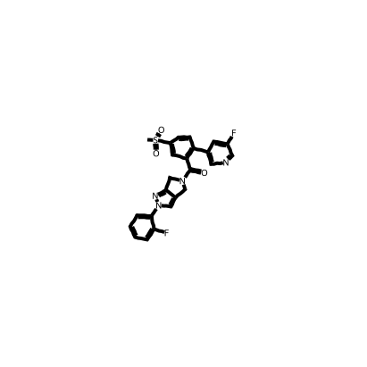 CS(=O)(=O)c1ccc(-c2cncc(F)c2)c(C(=O)N2Cc3cn(-c4ccccc4F)nc3C2)c1